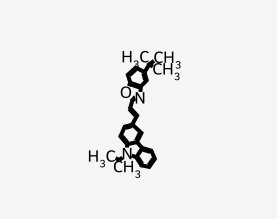 CC(C)n1c2ccccc2c2cc(/C=C/c3nc4cc(C(C)(C)C)ccc4o3)ccc21